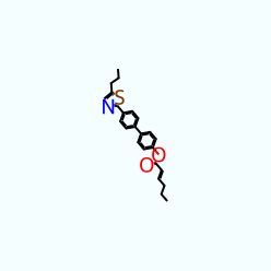 CCCC=CC(=O)Oc1ccc(-c2ccc(-c3ncc(CCC)s3)cc2)cc1